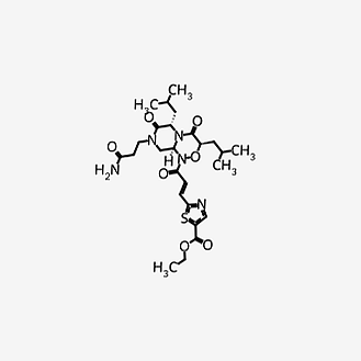 CCOC(=O)c1cnc(/C=C/C(=O)N2O[C@H](CC(C)C)C(=O)N3[C@@H]2CN(CCC(N)=O)C(=O)[C@@H]3CC(C)C)s1